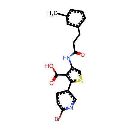 Cc1cccc(CCC(=O)Nc2csc(-c3ccc(Br)nc3)c2C(=O)O)c1